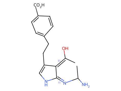 C/C(O)=C1/C(CCc2ccc(C(=O)O)cc2)=CN/C1=N/C(C)N